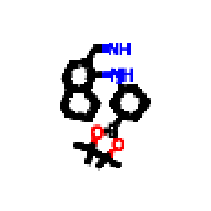 CC1(C)OB(c2cccc(Nc3c(C=N)ccc4ccccc34)c2)OC1(C)C